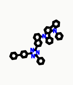 c1ccc(-c2ccc(-c3nc(-c4ccccc4)nc(-c4ccc5c(-n6c7ccccc7c7c6ccc6c8ccccc8n(-c8ccccc8)c67)cccc5c4)n3)cc2)cc1